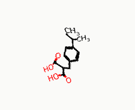 CCC(C)c1ccc(CC(C(=O)O)C(=O)O)cc1